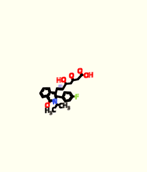 CC(C)n1c(-c2ccc(F)cc2)c(/C=C/C(O)CC(=O)CC(=O)O)c2ccccc2c1=O